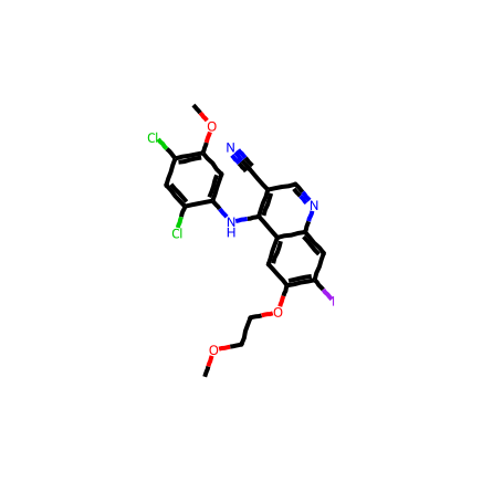 COCCOc1cc2c(Nc3cc(OC)c(Cl)cc3Cl)c(C#N)cnc2cc1I